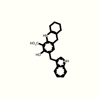 O=C(O)c1c(O)c(Cc2c[nH]c3ccccc23)cc2c1NC1=C(CCCC1)C2